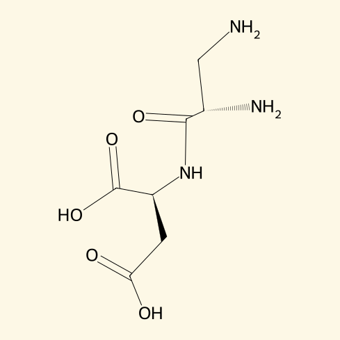 NC[C@H](N)C(=O)N[C@@H](CC(=O)O)C(=O)O